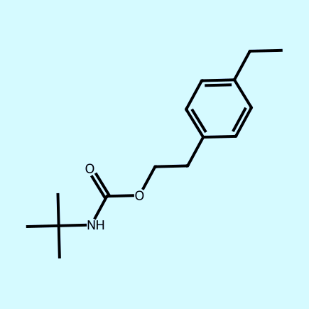 CCc1ccc(CCOC(=O)NC(C)(C)C)cc1